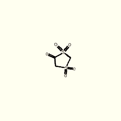 O=C1CS(=O)(=O)CS1(=O)=O